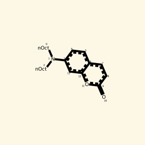 CCCCCCCCN(CCCCCCCC)c1ccc2ccc(=O)oc2c1